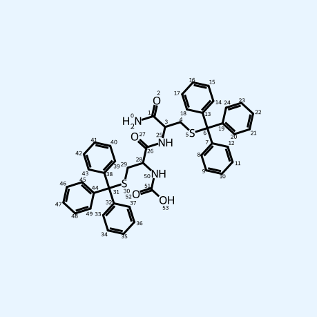 NC(=O)C(CSC(c1ccccc1)(c1ccccc1)c1ccccc1)NC(=O)C(CSC(c1ccccc1)(c1ccccc1)c1ccccc1)NC(=O)O